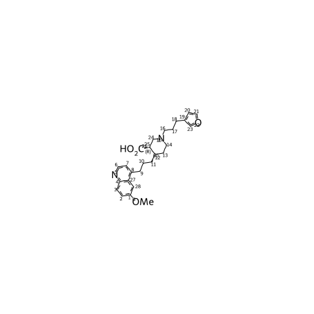 COc1ccc2nccc(CCC[C@@H]3CCN(CCCc4ccoc4)C[C@@H]3C(=O)O)c2c1